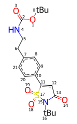 CC(C)(C)OC(=O)NCCc1ccc(C2=CC(=O)N(C(C)(C)C)S2(=O)=O)cc1